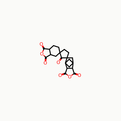 O=C1OC(=O)C2CC3(CCC12)CCC1(CC24CC1(C2)C1C(=O)OC(=O)C14)C3=O